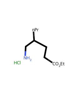 CCCC(CN)CCC(=O)OCC.Cl